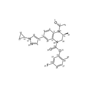 CC(=O)N1c2ccc(-c3cnn(C4CC4)c3)cc2N(C(=O)Oc2cc(F)ccc2C)C[C@@H]1C